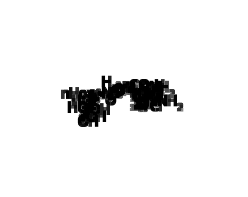 CCCCCCN(CCNC(=O)N1CCC(CN(C[C@H](CNC(=O)c2nc(Cl)c(N)nc2N)Cc2ccccc2C)C(=O)O)CC1)C[C@H](O)[C@@H](O)[C@H](O)[C@H](O)CO